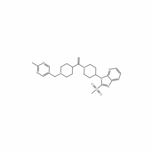 C=C(C1CCN(Cc2cnc(C)nc2)CC1)N1CCC(n2c(S(C)(=O)=O)nc3cccnc32)CC1